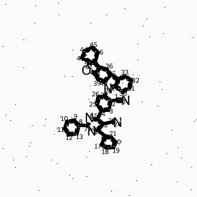 N#Cc1cc(-c2nc(-c3ccccc3)nc(-c3ccccc3)c2C#N)ccc1-n1c2ccccc2c2cc3c(cc21)oc1ccccc13